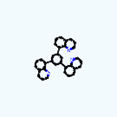 c1cnc2c(-c3cc(-c4cccc5cccnc45)cc(-c4cccc5cccnc45)c3)cccc2c1